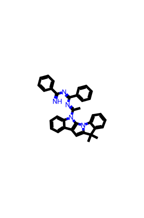 C/C(=N\C(=N/C(=N)c1ccccc1)c1ccccc1)n1c2ccccc2c2cc3n(c21)-c1ccccc1C3(C)C